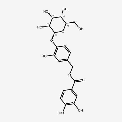 O=C(OCc1ccc(O[C@@H]2O[C@H](CO)[C@@H](O)[C@H](O)[C@H]2O)c(O)c1)c1ccc(O)c(O)c1